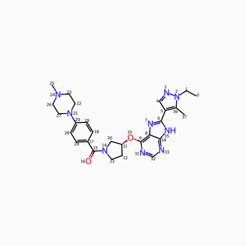 CCn1ncc(-c2nc3c(O[C@H]4CCN(C(=O)c5ccc(N6CCN(C)CC6)cc5)C4)ncnc3[nH]2)c1C